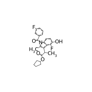 Cc1c(C(C)C(=O)OC2CCCC2)c2c(F)c(O)ccc2n1C(=O)c1cccc(F)c1